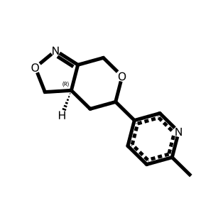 Cc1ccc(C2C[C@H]3CON=C3CO2)cn1